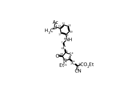 CCOC(=O)C(=C=c1sc(=C=CNc2cccc(N(C)C(C)=O)c2)c(=O)n1CC)C#N